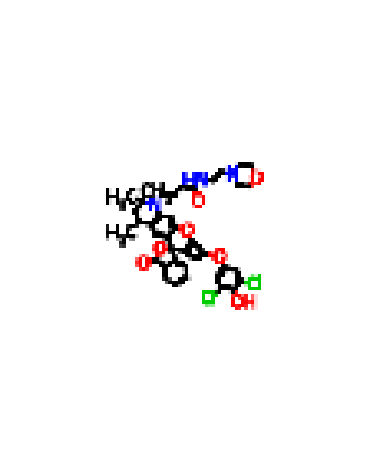 CC1CC(C)(C)N(CCCC(=O)NCCN2CCOCC2)c2cc3c(cc21)C1(OC(=O)c2ccccc21)c1ccc(Oc2cc(Cl)c(O)c(Cl)c2)cc1O3